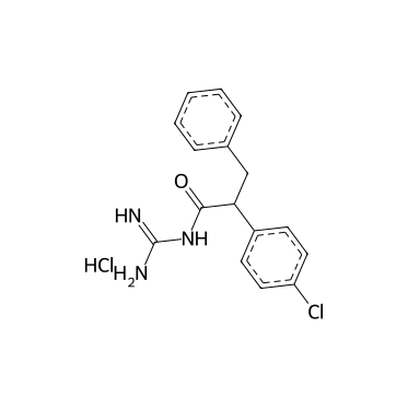 Cl.N=C(N)NC(=O)C(Cc1ccccc1)c1ccc(Cl)cc1